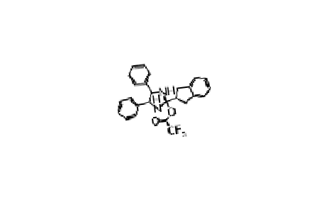 O=C(OC1(C2Cc3ccccc3C2)NC(c2ccccc2)C(c2ccccc2)N1)C(F)(F)F